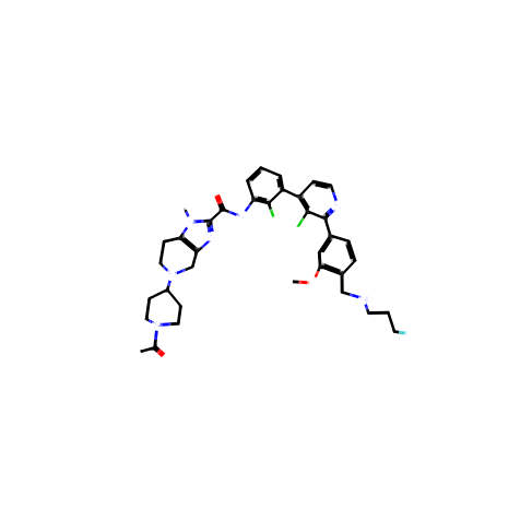 COc1cc(-c2nccc(-c3cccc(NC(=O)c4nc5c(n4C)CCN(C4CCN(C(C)=O)CC4)C5)c3Cl)c2Cl)ccc1CNCCCF